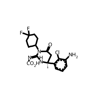 C[C@@]1(c2cccc(N)c2Cl)CC(=O)N(C2CCC(F)(F)CC2)/C(=N/C(=O)O)N1